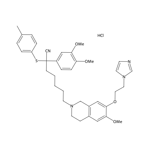 COc1ccc(C(C#N)(CCCCCN2CCc3cc(OC)c(OCCn4ccnc4)cc3C2)Sc2ccc(C)cc2)cc1OC.Cl